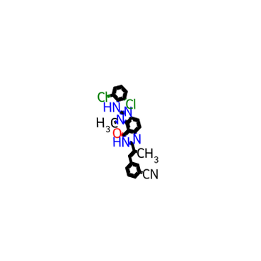 C/C(=C\c1cccc(C#N)c1)c1nc2ccc3nc(Nc4c(Cl)cccc4Cl)n(C)c3c2c(=O)[nH]1